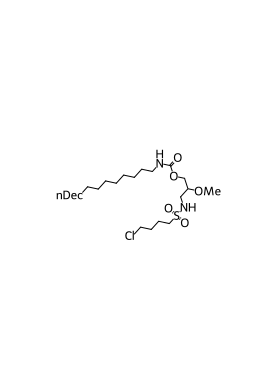 CCCCCCCCCCCCCCCCCCNC(=O)OCC(CNS(=O)(=O)CCCCCl)OC